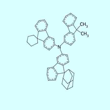 CC1(C)c2ccccc2-c2cc(N(c3ccc4c(c3)-c3ccccc3C43CCCCC3)c3ccc4c(c3)-c3ccccc3C43C4CC5CC(C4)CC3C5)ccc21